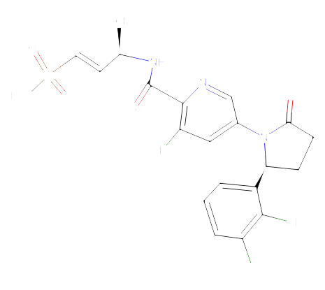 C[C@H](/C=C/S(C)(=O)=O)NC(=O)c1ncc(N2C(=O)CC[C@H]2c2cccc(F)c2Cl)cc1F